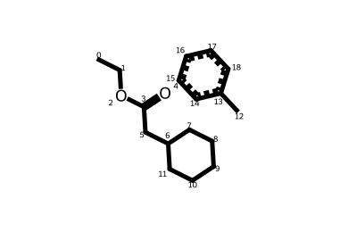 CCOC(=O)CC1CCCCC1.Cc1ccccc1